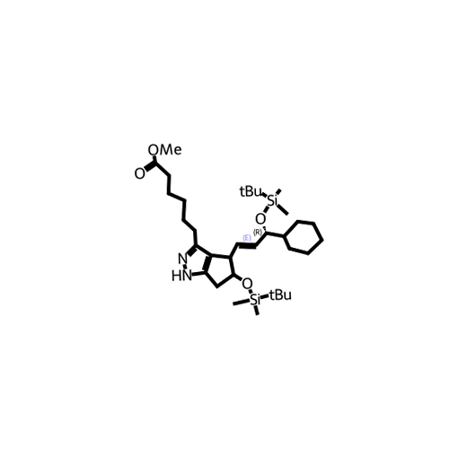 COC(=O)CCCCCc1n[nH]c2c1C(/C=C/[C@H](O[Si](C)(C)C(C)(C)C)C1CCCCC1)C(O[Si](C)(C)C(C)(C)C)C2